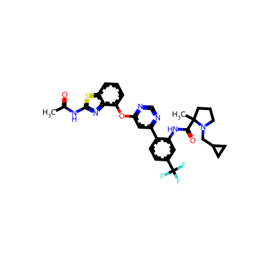 CC(=O)Nc1nc2c(Oc3cc(-c4ccc(C(F)(F)F)cc4NC(=O)C4(C)CCCN4CC4CC4)ncn3)cccc2s1